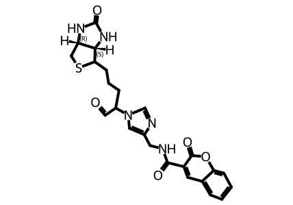 O=CC(CCCC1SC[C@@H]2NC(=O)N[C@H]12)n1cnc(CNC(=O)c2cc3ccccc3oc2=O)c1